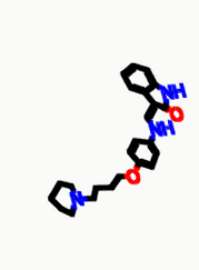 O=C1Nc2ccccc2C1=CNc1ccc(OCCCCN2CCCCC2)cc1